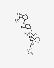 COCCNC(=O)C1(NC(=O)C(N)Cc2ccc(Oc3ccnc4[nH]cc(C)c34)c(F)c2)CCCCC1